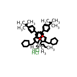 CC[CH2][Zr]([CH3])(=[SiH2])([CH]1C(CC2CCCCC2)=Cc2c(-c3ccc(C(C)(C)C)cc3)cccc21)[CH]1C(CC2CCCCC2)=Cc2c(-c3ccc(C(C)(C)C)cc3)cccc21.Cl.Cl